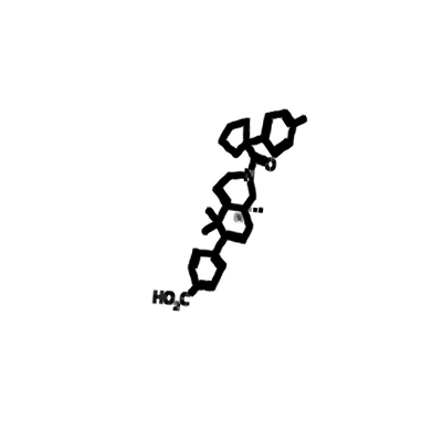 Cc1ccc(C2(C(=O)N3CC=C4C(C)(C)C(c5ccc(C(=O)O)cc5)=CC[C@]4(C)C3)CCCC2)cc1